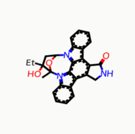 CCC1(O)CC2OC1(C)n1c3ccccc3c3c4c(c5c6ccccc6n2c5c31)C(=O)NC4